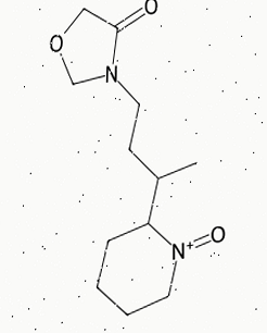 CC(CCN1COCC1=O)C1CCCC[N+]1=O